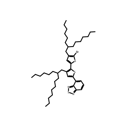 CCCCCCCCC(CCCCCC)Cc1cc(-c2cccc3nsnc23)sc1-c1cc(CC(CCCCCC)CCCCCCC)c(Br)s1